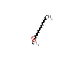 C=COC(=O)C=CC=CCCCCCCCCCCCCC